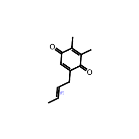 C/C=C/CC1=CC(=O)C(C)=C(C)C1=O